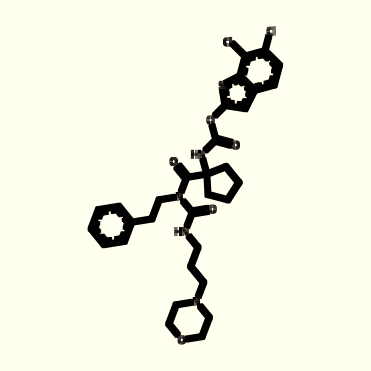 O=C(NC1(C(=O)N(CCc2ccccc2)C(=O)NCCCN2CCOCC2)CCCC1)Oc1cc2ccc(Cl)c(Cl)c2s1